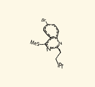 CSc1nc(CCC(C)C)nc2ccc(Br)cc12